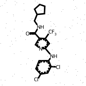 O=C(NCC1CCCC1)c1cnc(Nc2ccc(Cl)cc2Cl)cc1C(F)(F)F